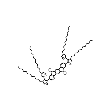 CCCCCCCCCCCCc1csc(-c2c(CCCCCCCCCCCC)csc2-c2ccc3c(c2)c(=O)c2cc4c(cc23)c(=O)c2cc(-c3scc(CCCCCCCCCCCC)c3-c3cc(CCCCCCCCCCCC)cs3)ccc24)c1